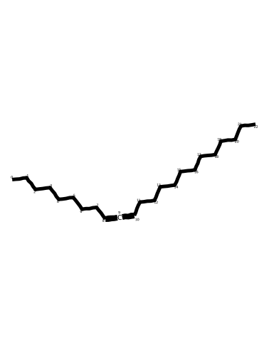 CCCCCCCCC=C=CCCCCCCCCCCCC